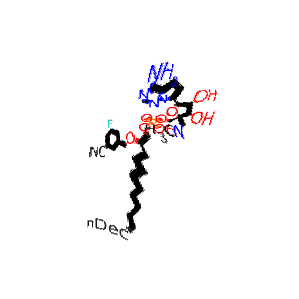 CCCCCCCCCCCCCCCCCCC[C@H](COP(=O)(O)OC[C@@]1(/C=N\C)O[C@@H](c2ccc3c(N)ncnn23)[C@H](O)[C@@H]1O)OCc1cc(F)cc(C#N)c1